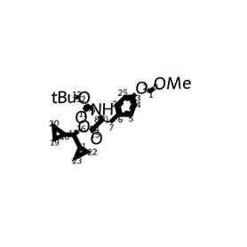 COCOc1ccc(C[C@@H](NC(=O)OC(C)(C)C)C(=O)OC(C2CC2)C2CC2)cc1